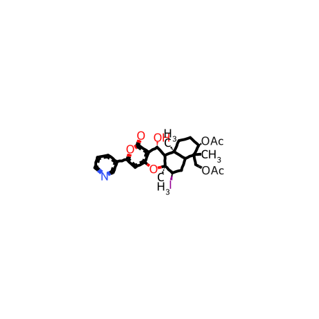 CC(=O)OCC1(C)C2C[C@@H](I)[C@@]3(C)Oc4cc(-c5cccnc5)oc(=O)c4[C@H](O)C3[C@@]2(C)CC[C@@H]1OC(C)=O